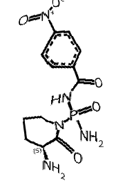 N[C@H]1CCCN(P(N)(=O)NC(=O)c2ccc([N+](=O)[O-])cc2)C1=O